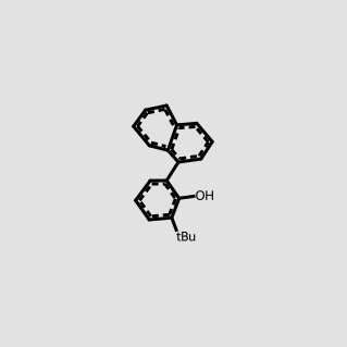 CC(C)(C)c1cccc(-c2cccc3ccccc23)c1O